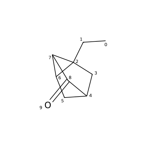 CCC12CC3CC1C2C3=O